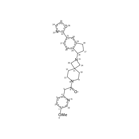 COc1ccc(CC(=O)N2CCC3(CC2)CN(C2CCc4cc(-c5ncco5)ccc42)C3)nc1